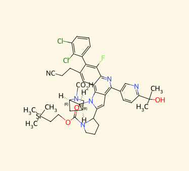 CC(C)(O)c1ccc(-c2nc3c(F)c(-c4cccc(Cl)c4Cl)c(CCC#N)cc3c3c2cc(C2CCCN2C(=O)OCC[Si](C)(C)C)n3[C@H]2[C@@H]3C[C@H]2N(C(=O)O)C3)cn1